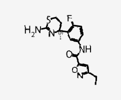 CCc1cc(C(=O)Nc2ccc(F)c([C@]3(C)CCSC(N)=N3)c2)on1